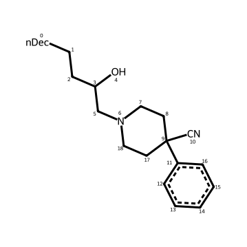 CCCCCCCCCCCCC(O)CN1CCC(C#N)(c2ccccc2)CC1